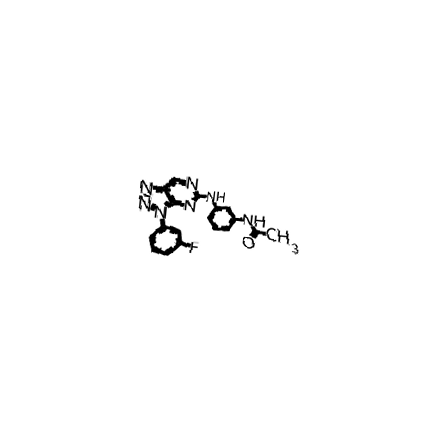 CC(=O)Nc1cccc(Nc2ncc3nnn(-c4cccc(F)c4)c3n2)c1